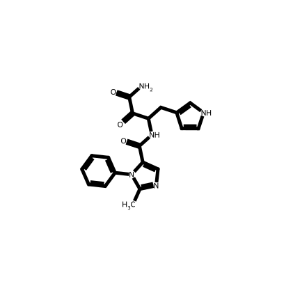 Cc1ncc(C(=O)NC(Cc2cc[nH]c2)C(=O)C(N)=O)n1-c1ccccc1